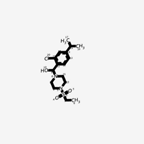 CCS(=O)(=O)N1CCN(C(O)c2ccc(C(C)C)cc2Cl)CC1